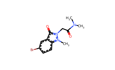 CN(C)C(=O)Cn1c(=O)c2cc(Br)ccc2n1C